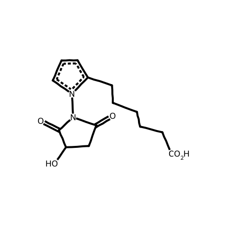 O=C(O)CCCCCc1cccn1N1C(=O)CC(O)C1=O